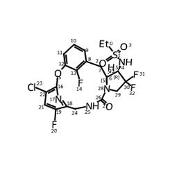 CCS(=O)(=O)N[C@@H]1[C@@H]2Cc3cccc(c3F)Oc3nc(c(F)cc3Cl)CNC(=O)N2CC1(F)F